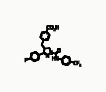 O=C(O)c1ccc(CC2CN(C(=O)Nc3ccc(C(F)(F)F)cc3)N=C2c2ccc(F)cc2)cc1